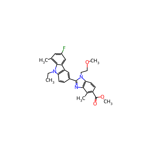 CCn1c2ccc(-c3nc4c(C)c(C(=O)OC)ccc4n3CCOC)cc2c2cc(F)cc(C)c21